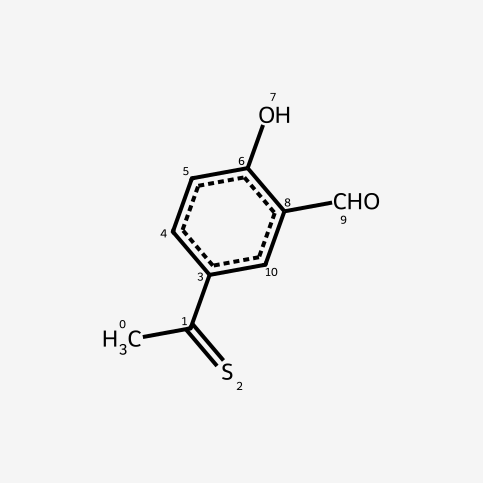 CC(=S)c1ccc(O)c(C=O)c1